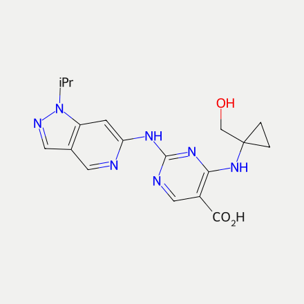 CC(C)n1ncc2cnc(Nc3ncc(C(=O)O)c(NC4(CO)CC4)n3)cc21